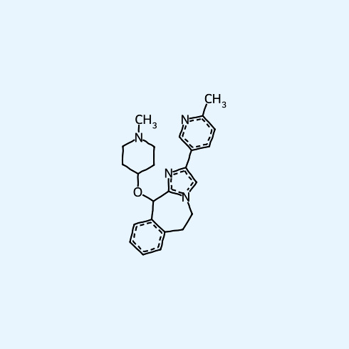 Cc1ccc(-c2cn3c(n2)C(OC2CCN(C)CC2)c2ccccc2CC3)cn1